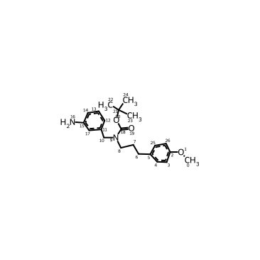 COc1ccc(CCCN(Cc2cccc(N)c2)C(=O)OC(C)(C)C)cc1